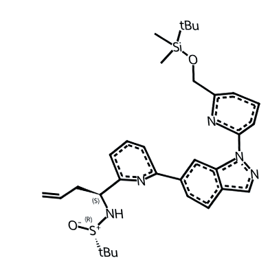 C=CC[C@H](N[S@@+]([O-])C(C)(C)C)c1cccc(-c2ccc3cnn(-c4cccc(CO[Si](C)(C)C(C)(C)C)n4)c3c2)n1